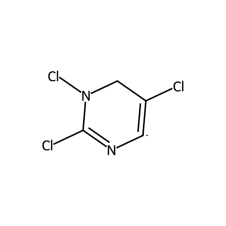 ClC1=[C]N=C(Cl)N(Cl)C1